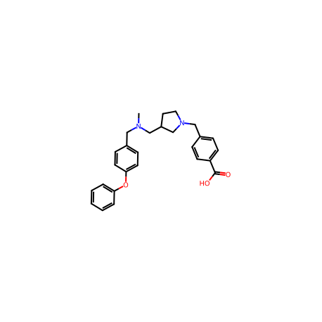 CN(Cc1ccc(Oc2ccccc2)cc1)CC1CCN(Cc2ccc(C(=O)O)cc2)C1